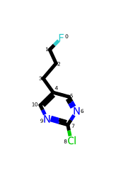 FCCCc1cnc(Cl)nc1